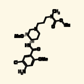 COc1cc(N)c(Cl)cc1C(=O)N[C@H]1CCN(CCCN(C)C(=O)OC(C)(C)C)C[C@H]1OC